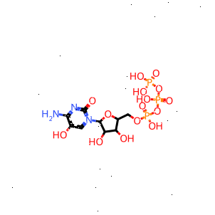 Nc1nc(=O)n(C2OC(COP(=O)(O)OP(=O)(O)OP(=O)(O)O)C(O)C2O)cc1O